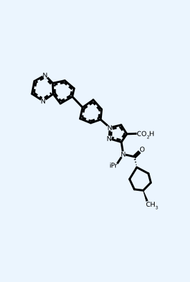 CC(C)N(c1nn(-c2ccc(-c3ccc4nccnc4c3)cc2)cc1C(=O)O)C(=O)[C@H]1CC[C@H](C)CC1